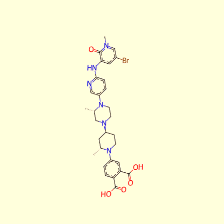 C[C@@H]1C[C@@H](N2CCN(c3ccc(Nc4cc(Br)cn(C)c4=O)nc3)[C@@H](C)C2)CCN1c1ccc(C(=O)O)c(C(=O)O)c1